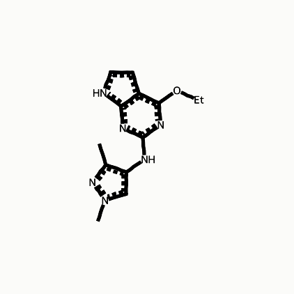 CCOc1nc(Nc2cn(C)nc2C)nc2[nH]ccc12